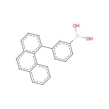 OB(O)c1cccc(-c2cccc3ccc4ccccc4c23)c1